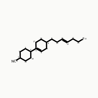 N#CC1CCC(C2=CCC(CC/C=C/CCF)CC2)CC1